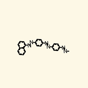 CN=Nc1ccc(N=Nc2ccc(N=Nc3cccc4ccccc34)cc2)cc1